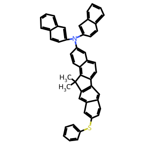 CC1(C)c2cc3cc(Sc4ccccc4)ccc3cc2-c2ccc3cc(N(c4ccc5ccccc5c4)c4ccc5ccccc5c4)ccc3c21